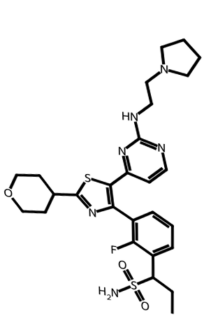 CCC(c1cccc(-c2nc(C3CCOCC3)sc2-c2ccnc(NCCN3CCCC3)n2)c1F)S(N)(=O)=O